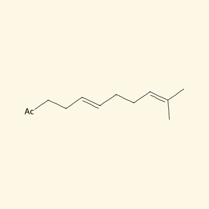 CC(=O)CCC=CCCC=C(C)C